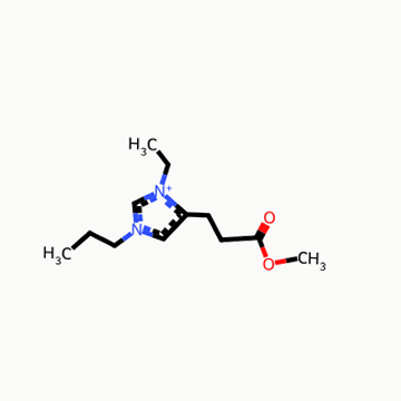 CCCn1cc(CCC(=O)OC)[n+](CC)c1